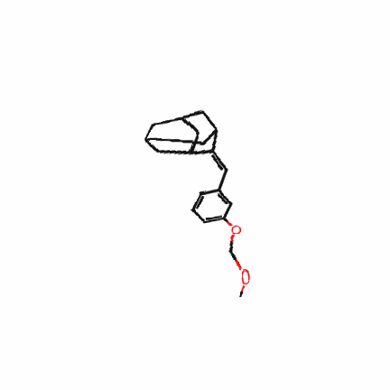 COCOc1cccc(C=C2C3CC4CC(C3)CC2C4)c1